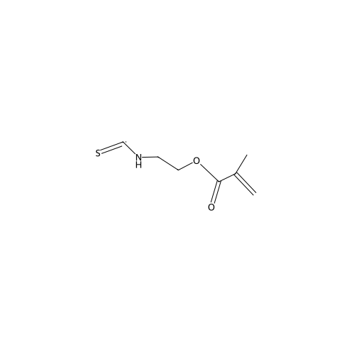 C=C(C)C(=O)OCCN[C]=S